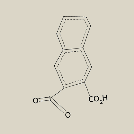 O=C(O)c1cc2ccccc2cc1I(=O)=O